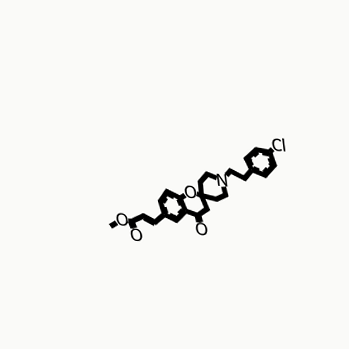 COC(=O)C=Cc1ccc2c(c1)C(=O)CC1(CCN(CCc3ccc(Cl)cc3)CC1)O2